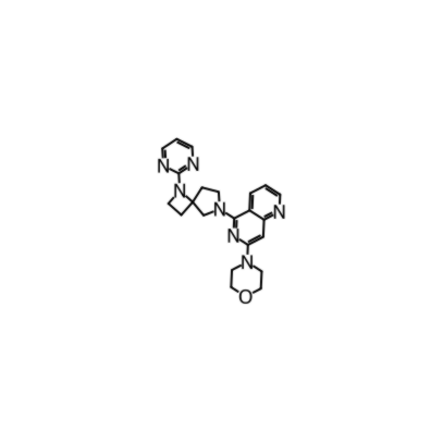 c1cnc(N2CCC23CCN(c2nc(N4CCOCC4)cc4ncccc24)C3)nc1